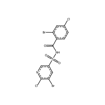 O=C(NS(=O)(=O)c1cnc(Cl)c(Br)c1)c1ccc(Cl)cc1Br